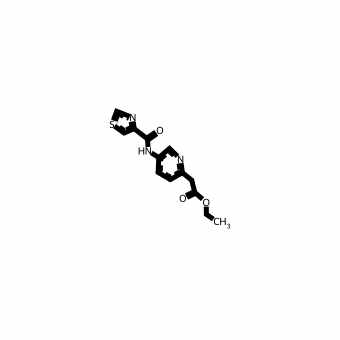 CCOC(=O)Cc1ccc(NC(=O)c2cscn2)cn1